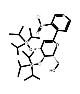 CC(C)[Si](O[C@H]1[C@H](O[Si](C(C)C)(C(C)C)C(C)C)C=C(c2ccncc2[N+](=O)[O-])O[C@@H]1CO)(C(C)C)C(C)C